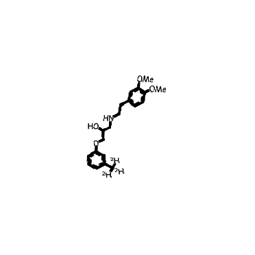 [2H]C([2H])([2H])c1cccc(OCC(O)CNCCc2ccc(OC)c(OC)c2)c1